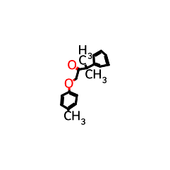 Cc1ccc(OCC(=O)C(C)(C)c2ccccc2)cc1